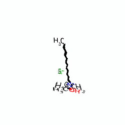 CCCCCCCCCCCCCC[N+](C)(C)C(C)O.[Br-]